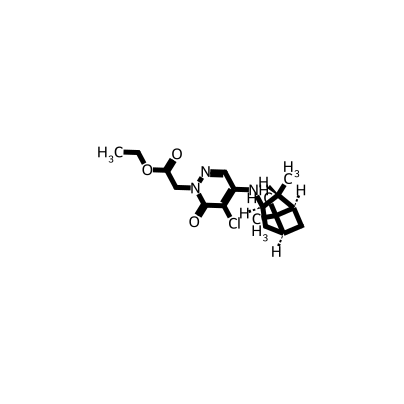 CCOC(=O)Cn1ncc(N[C@@H]2C[C@@H]3C[C@H]([C@H]2C)C3(C)C)c(Cl)c1=O